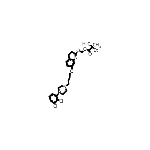 CCC(C)(C)C(=O)OCOC1=Nc2cc(OCCCCN3CCN(c4cccc(Cl)c4Cl)CC3)ccc2CC1